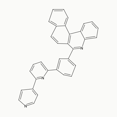 c1cc(-c2cccc(-c3ccncc3)n2)cc(-c2nc3ccccc3c3c2ccc2ccccc23)c1